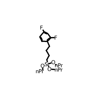 CCCO[Si](CCCCc1ccc(F)cc1F)(OCCC)OCCC